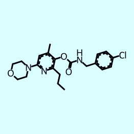 CCCc1nc(N2CCOCC2)cc(C)c1OC(=O)NCc1ccc(Cl)cc1